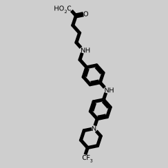 O=C(O)C(=O)CCCNCc1ccc(Nc2ccc(N3CCC(C(F)(F)F)CC3)cc2)cc1